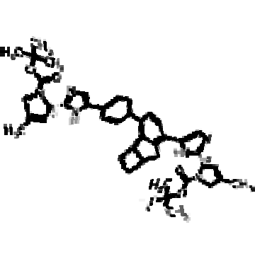 CC1=C[C@@H](c2ncc(-c3ccc(-c4ccc(-c5cnc([C@@H]6C=C(C)CN6C(=O)OC(C)(C)C)[nH]5)c5c4C4CCC4C5)cc3)[nH]2)N(C(=O)OC(C)(C)C)C1